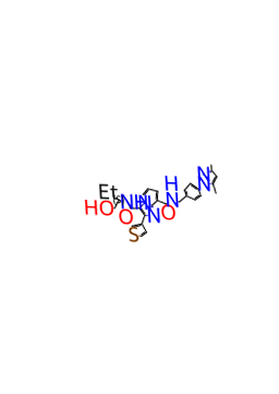 CC[C@@H](CO)NC(=O)c1c(-c2ccsc2)nc2c(C(=O)NCc3ccc(-n4nc(C)cc4C)cc3)cccn12